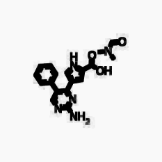 CN(C)C=O.Nc1ncc(-c2ccccc2)c(-c2c[nH]c(C(=O)O)c2)n1